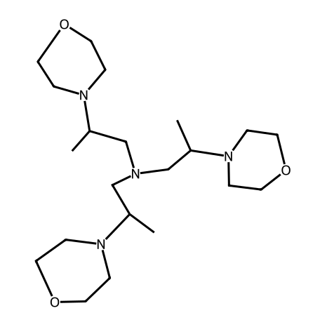 CC(CN(CC(C)N1CCOCC1)CC(C)N1CCOCC1)N1CCOCC1